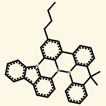 CCCCc1cc2c3c(c1)-n1c4ccccc4c4cccc(c41)B3N1c3ccccc3C(C)(C)c3cccc-2c31